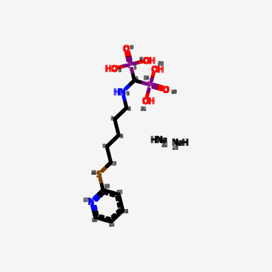 O=P(O)(O)C(NCCCCCSc1ccccn1)P(=O)(O)O.[NaH].[NaH]